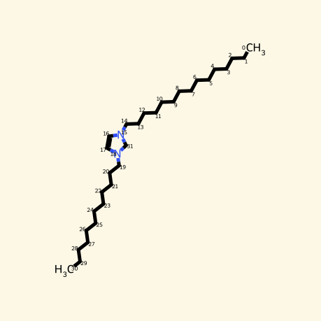 CCCCCCCCCCCCCCCN1C=CN(CCCCCCCCCCCC)C1